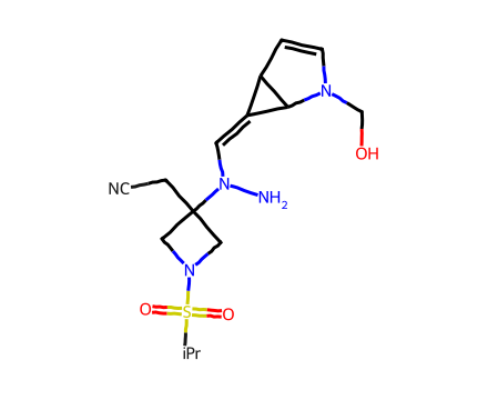 CC(C)S(=O)(=O)N1CC(CC#N)(N(N)/C=C2/C3C=CN(CO)C23)C1